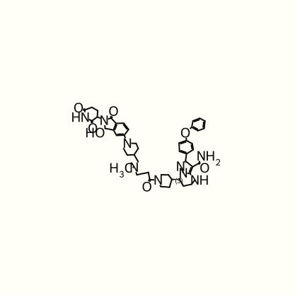 CN(CCC(=O)N1CCC([C@@H]2CCNc3c(C(N)=O)c(-c4ccc(Oc5ccccc5)cc4)nn32)CC1)CC1CCN(c2ccc3c(c2)C(O)N(C2CCC(=O)NC2=O)C3=O)CC1